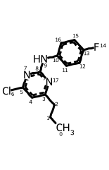 CCCc1cc(Cl)nc(Nc2ccc(F)cc2)n1